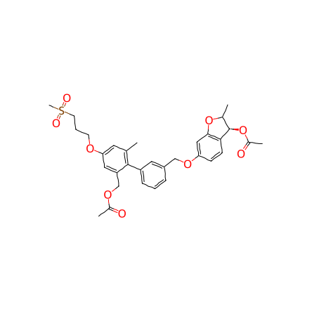 CC(=O)OCc1cc(OCCCS(C)(=O)=O)cc(C)c1-c1cccc(COc2ccc3c(c2)OC(C)[C@H]3OC(C)=O)c1